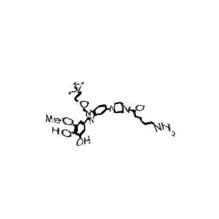 COc1cc(-c2nc3cc(N4CCN(C(=O)CCCCN)CC4)ccc3n2COCC[Si](C)(C)C)cc(O)c1O